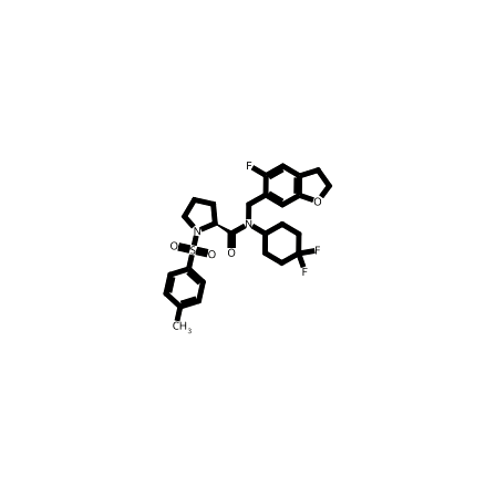 Cc1ccc(S(=O)(=O)N2CCC[C@H]2C(=O)N(Cc2cc3c(cc2F)CCO3)C2CCC(F)(F)CC2)cc1